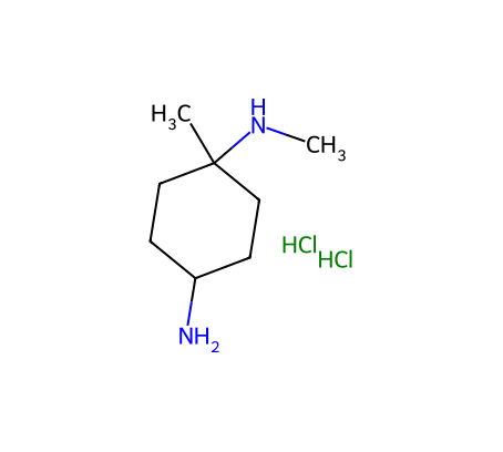 CNC1(C)CCC(N)CC1.Cl.Cl